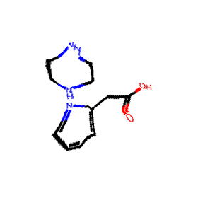 C1CNCCN1.O=C(O)Cc1ccccn1